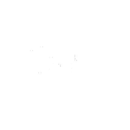 O=C(CN1C(=O)C2(COc3cc4c(cc32)OCO4)c2ccccc21)NC1CCc2ccccc21